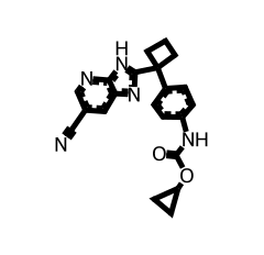 N#Cc1cnc2[nH]c(C3(c4ccc(NC(=O)OC5CC5)cc4)CCC3)nc2c1